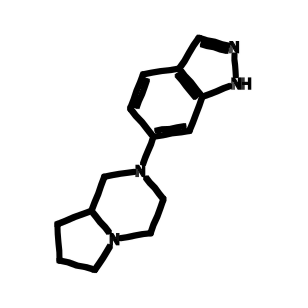 c1cc2cn[nH]c2cc1N1CCN2CCCC2C1